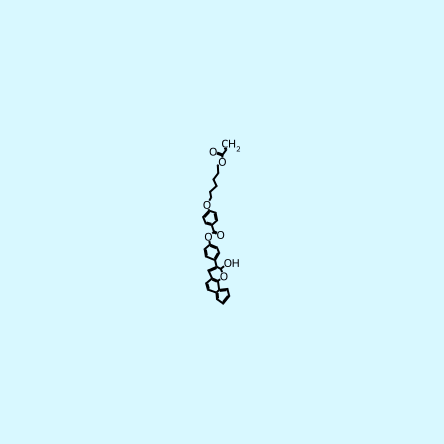 C=CC(=O)OCCCCCCOc1ccc(C(=O)Oc2ccc(C3=Cc4ccc5ccccc5c4OC3O)cc2)cc1